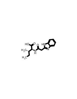 CC[C@H](C)[C@H](NC(=O)Cc1nc2ccccc2[nH]1)C(=O)O